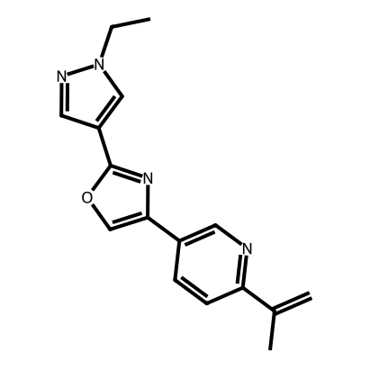 C=C(C)c1ccc(-c2coc(-c3cnn(CC)c3)n2)cn1